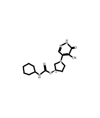 N#Cc1c(N2CC[C@@H](OC(=O)NC3CCCCC3)C2)cn[nH]c1=O